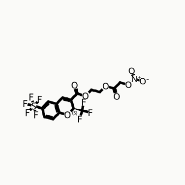 O=C(CO[N+](=O)[O-])OCCOC(=O)C1=Cc2cc(S(F)(F)(F)(F)F)ccc2O[C@@H]1C(F)(F)F